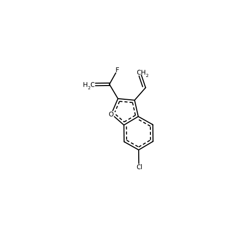 C=Cc1c(C(=C)F)oc2cc(Cl)ccc12